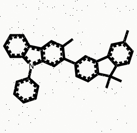 Cc1ccc2c(c1)-c1cc(-c3cc4c(cc3C)c3ccccc3n4-c3ccccc3)ccc1C2(C)C